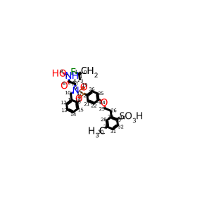 C=C(F)C[C@@H](C(=O)NO)N(Cc1ccccc1)S(=O)(=O)c1ccc(OCCc2cc(C)ccc2S(=O)(=O)O)cc1